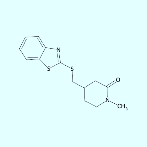 CN1CCC(CSc2nc3ccccc3s2)CC1=O